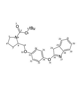 CC(C)(C)OC(=O)N1CCCC1COc1ccc(OC2=Nc3ccccc3C2)cc1